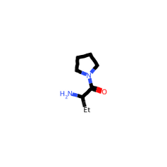 CCC(N)C(=O)N1CCCC1